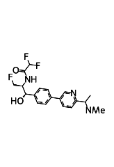 CNC(C)c1ccc(-c2ccc([C@@H](O)[C@@H](CF)NC(=O)C(F)F)cc2)cn1